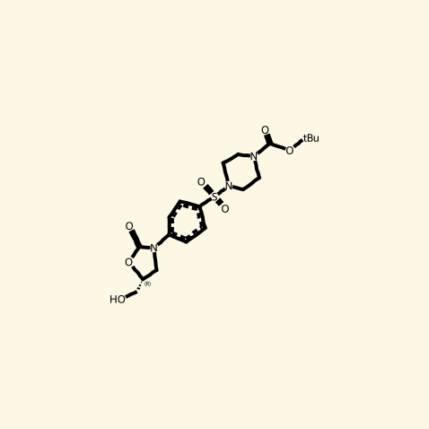 CC(C)(C)OC(=O)N1CCN(S(=O)(=O)c2ccc(N3C[C@H](CO)OC3=O)cc2)CC1